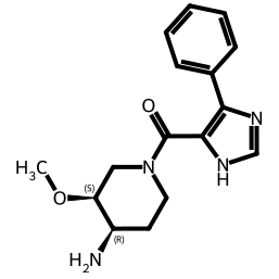 CO[C@H]1CN(C(=O)c2[nH]cnc2-c2ccccc2)CC[C@H]1N